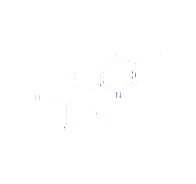 CC(C)S(=O)(=O)c1ccc(S)cn1